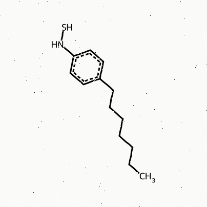 CCCCCCCc1ccc(NS)cc1